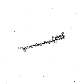 O=C(O)CCOCCOCCOCCOCCOCCOCCNC(=O)C1COC(CN2C(=O)C=CC2=O)OC1